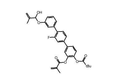 C=C(C)C(=O)Oc1cc(-c2ccc(-c3cccc(OC(O)C(=C)C)c3)c(F)c2)ccc1OC(=O)C(C)(C)C